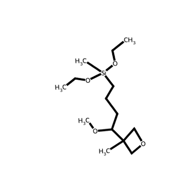 CCO[Si](C)(CCCC(OC)C1(C)COC1)OCC